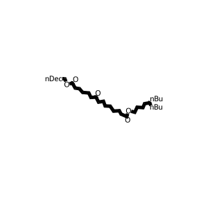 CCCCCCCCCCCOC(=O)CCCCCC(=O)CCCCCCCC(=O)OCCCCC(CCCC)CCCC